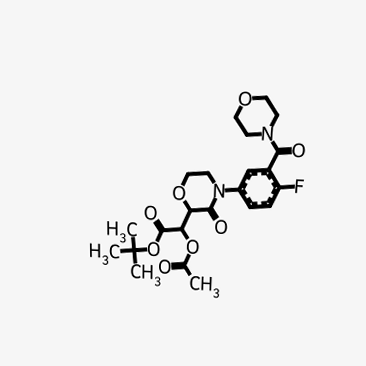 CC(=O)OC(C(=O)OC(C)(C)C)C1OCCN(c2ccc(F)c(C(=O)N3CCOCC3)c2)C1=O